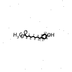 COC(=O)CCCCCCCc1ccc(O)cc1